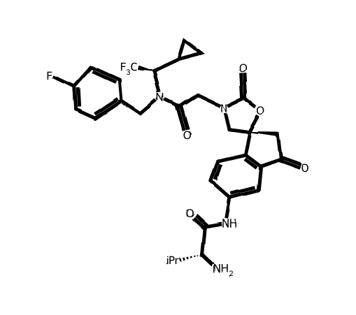 CC(C)[C@@H](N)C(=O)Nc1ccc2c(c1)C(=O)C[C@]21CN(CC(=O)N(Cc2ccc(F)cc2)[C@H](C2CC2)C(F)(F)F)C(=O)O1